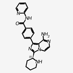 Nc1nccn2c([C@@H]3CCCCN3)nc(-c3ccc(C(=O)Nc4ccccn4)cc3)c12